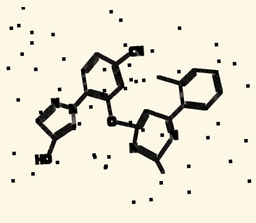 Cc1nc(Oc2cc(C#N)ccc2-n2cc(O)cn2)cc(-c2ccccc2C)n1